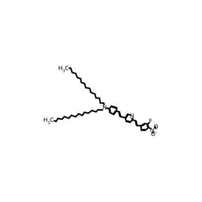 CCCCCCCCCCCCCCCCN(CCCCCCCCCCCCCCCC)c1ccc(/C=C/c2ccc(/C=C/c3ccc([N+](=O)[O-])c(F)c3)nc2)cc1